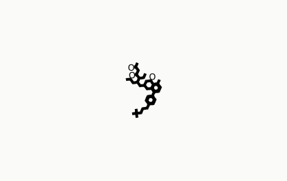 CCCC(CC1CC(=O)c2c(C)ccc(-c3ccc(CCCC(C)(C)C)cc3)c2C1)C(CC)C(=O)CC(C)=O